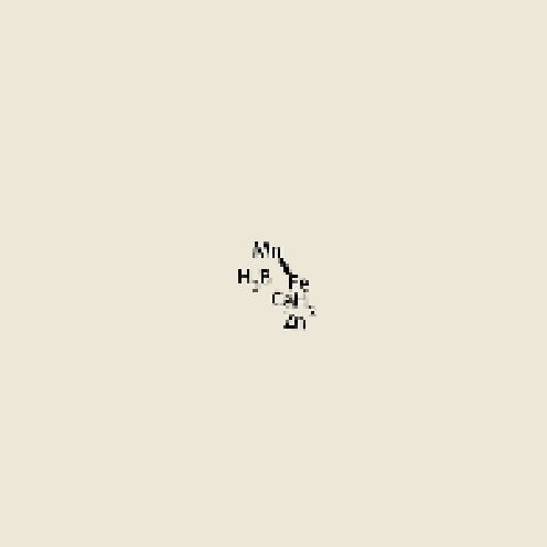 B.[CaH2].[Mn][Fe].[Zn]